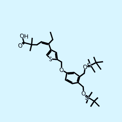 CC/C(=C/CC(C)(C)C(=O)O)c1csc(COc2ccc(CO[Si](C)(C)C(C)(C)C)c(CO[Si](C)(C)C(C)(C)C)c2)c1